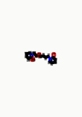 O=C1CCCCN1CCCCOCCN1CCCCC1=O